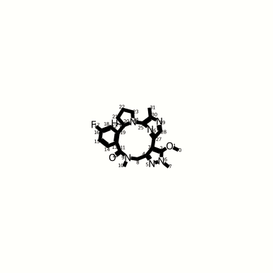 COc1c2c(nn1C)CN(C)C(=O)c1ccc(F)cc1[C@H]1CCCN1c1nc-2cnc1C